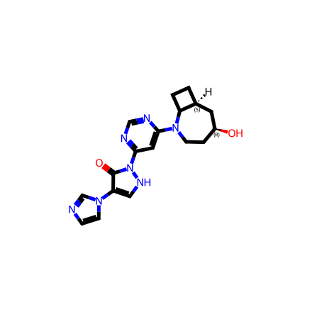 O=c1c(-n2ccnc2)c[nH]n1-c1cc(N2CC[C@H](O)C[C@@H]3CCC32)ncn1